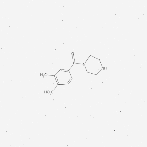 Cc1cc(C(=O)N2CCNCC2)ccc1C(=O)O